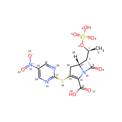 C[C@H](OS(=O)(=O)O)[C@@H]1C(=O)N2C(C(=O)O)=C(Sc3ncc([N+](=O)[O-])cn3)C[C@H]12